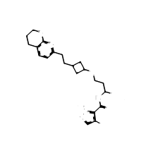 Cn1ncc(Cl)c1C(=O)NC(CCOC1CC(CCc2ccc3c(n2)NCCC3)C1)C(=O)O